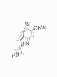 COc1cc2nn(C3CNC3)cc2cc1Br